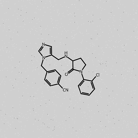 N#Cc1ccc(Cn2cncc2CNC2CCN(c3ccccc3Cl)C2=O)cc1